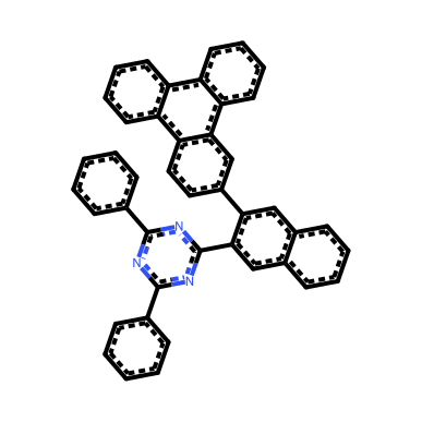 c1ccc(-c2nc(-c3ccccc3)nc(-c3cc4ccccc4cc3-c3ccc4c5ccccc5c5ccccc5c4c3)n2)cc1